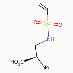 C=CS(=O)(=O)NC[C@H](C(=O)O)C(C)C